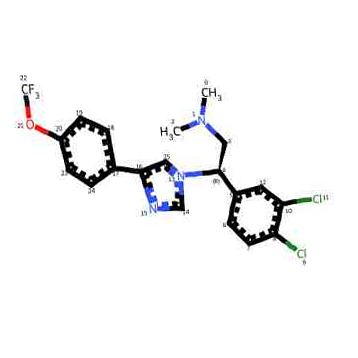 CN(C)C[C@@H](c1ccc(Cl)c(Cl)c1)n1cnc(-c2ccc(OC(F)(F)F)cc2)c1